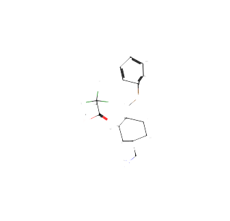 NC[C@H]1CC[C@H](CSc2ccccc2)CC1.O=C(O)C(F)(F)F